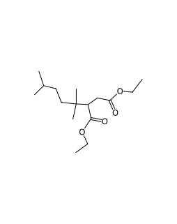 CCOC(=O)CC(C(=O)OCC)C(C)(C)CCC(C)C